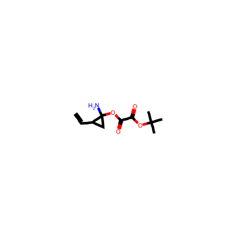 C=CC1CC1(N)OC(=O)C(=O)OC(C)(C)C